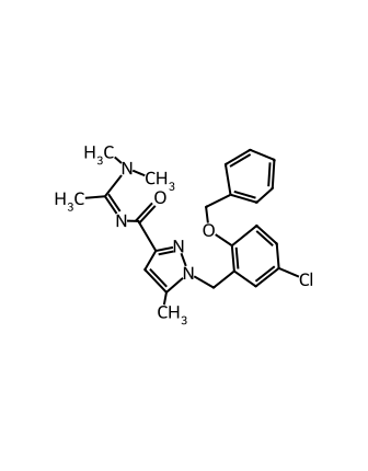 CC(=NC(=O)c1cc(C)n(Cc2cc(Cl)ccc2OCc2ccccc2)n1)N(C)C